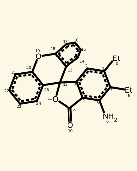 CCc1cc2c(c(N)c1CC)C(=O)OC21c2ccccc2Oc2ccccc21